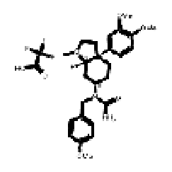 COc1ccc(CN(C(N)=O)[C@@H]2CC[C@@]3(c4ccc(OC)c(OC)c4)CCN(C)[C@H]3C2)cc1.O=C(O)C(F)(F)F